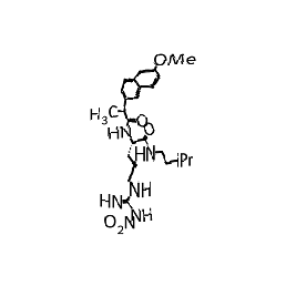 COc1ccc2cc([C@H](C)C(=O)N[C@@H](CCCNC(=N)N[N+](=O)[O-])C(=O)NCCC(C)C)ccc2c1